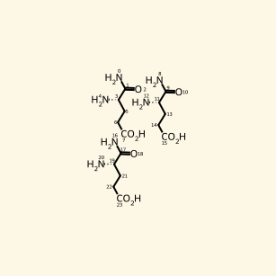 NC(=O)[C@@H](N)CCC(=O)O.NC(=O)[C@@H](N)CCC(=O)O.NC(=O)[C@@H](N)CCC(=O)O